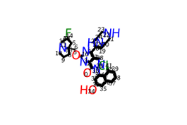 O=c1c2nc(OC[C@@]34CCCN3C[C@H](F)C4)nc(C3=CC4CNCC(C3)N4)c2cnn1-c1cc(O)cc2cccc(Cl)c12